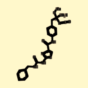 CC(C)(C)O[C@@](Cc1ccc(NC(=O)c2csc(NC(=O)NCc3ccccc3)n2)cc1)(N=C=O)C(=O)O